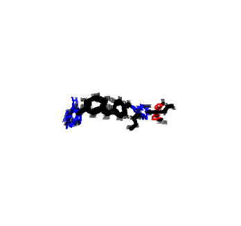 CCCc1nc(C(CCC)(OC)OC)nn1Cc1ccc(Cc2cccc(-c3nnn[nH]3)c2)cc1